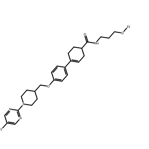 CCOCCCNC(=O)C1CC=C(c2ccc(OCC3CCN(c4ncc(CC)cn4)CC3)cc2)CC1